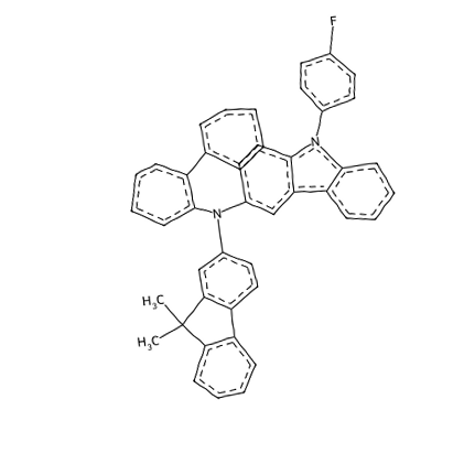 CC1(C)c2ccccc2-c2ccc(N(c3ccc4c(c3)c3ccccc3n4-c3ccc(F)cc3)c3ccccc3-c3ccccc3)cc21